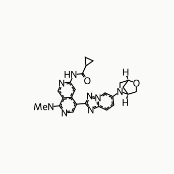 CNc1ncc(-c2nc3ccc(N4C[C@H]5C[C@@H]4CO5)cn3n2)c2cc(NC(=O)C3CC3)ncc12